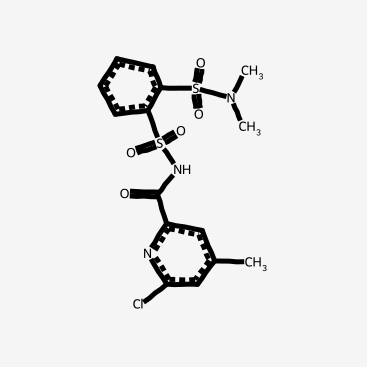 Cc1cc(Cl)nc(C(=O)NS(=O)(=O)c2ccccc2S(=O)(=O)N(C)C)c1